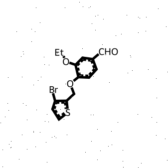 CCOc1cc(C=O)ccc1OCc1sccc1Br